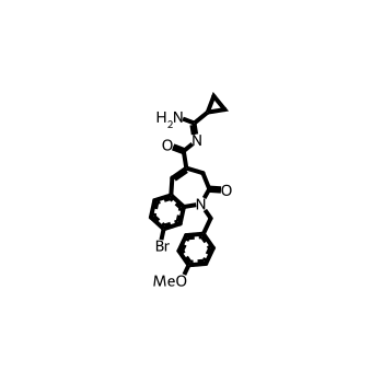 COc1ccc(CN2C(=O)CC(C(=O)N=C(N)C3CC3)=Cc3ccc(Br)cc32)cc1